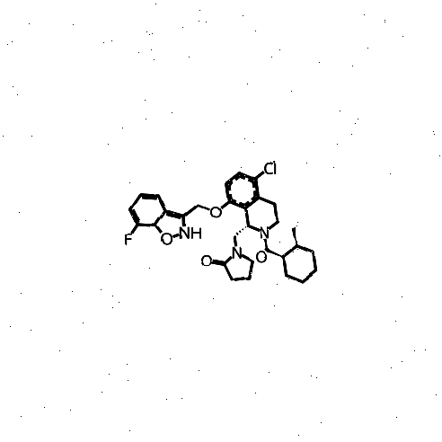 C[C@H]1CCCC[C@H]1C(=O)N1CCc2c(Cl)ccc(OCC3=C4C=CC=C(F)C4ON3)c2[C@H]1CN1CCCC1=O